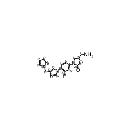 NCC1CN(c2ccc(-n3cnc(Cn4cccn4)c3)c(F)c2)C(=O)O1